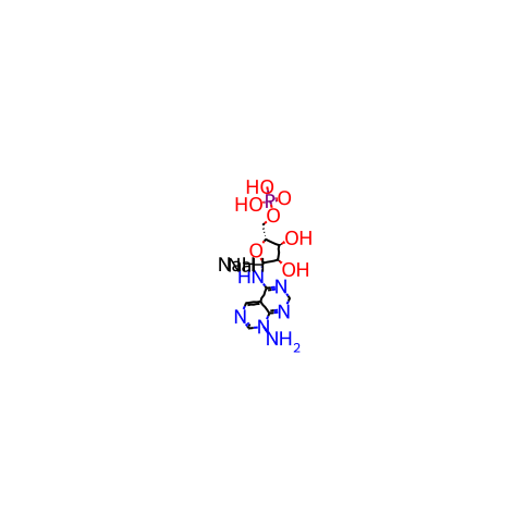 NN1C=NC=C2C(N[C@@H]3O[C@H](COP(=O)(O)O)[C@@H](O)[C@H]3O)=NCN=C21.[NaH].[NaH]